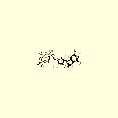 Nc1nc2c(ncn2[C@]2(S)O[C@H](COP(=O)(O)OP(=O)(O)OP(=O)(O)O)[C@@H](O)[C@H]2O)c(=O)[nH]1